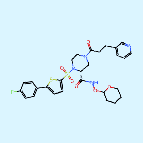 O=C(NOC1CCCCO1)[C@H]1CN(C(=O)CCc2cccnc2)CCN1S(=O)(=O)c1ccc(-c2ccc(F)cc2)s1